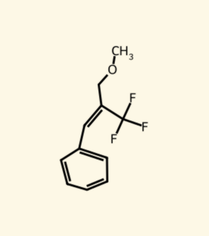 COCC(=Cc1ccccc1)C(F)(F)F